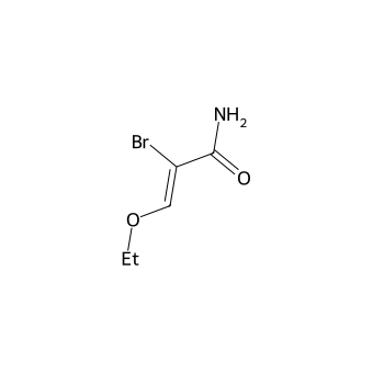 CCOC=C(Br)C(N)=O